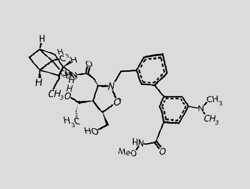 CONC(=O)c1cc(-c2cccc(CN3O[C@@H](CO)[C@@H]([C@H](C)O)[C@H]3C(=O)N[C@H]3C[C@H]4C[C@@H]([C@@H]3C)C4(C)C)c2)cc(N(C)C)c1